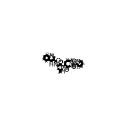 CC(C)C[C@H](NC(=O)c1cnc2ccccc2c1)C(=O)N[C@H]1CC[C@@H](C)N(S(=O)(=O)c2ccccn2)CC1=O